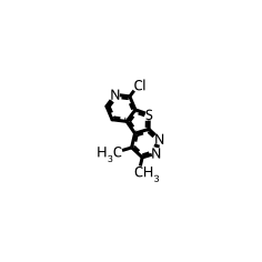 Cc1nnc2sc3c(Cl)nccc3c2c1C